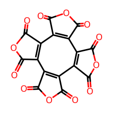 O=c1oc(=O)c2c1c1c(=O)oc(=O)c1c1c(=O)oc(=O)c1c1c(=O)oc(=O)c21